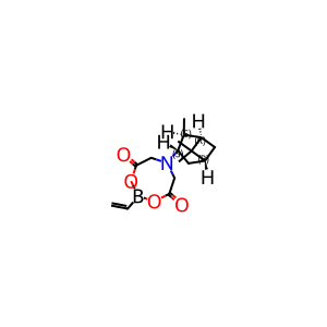 C=CB1OC(=O)CN([C@H]2C[C@H]3C[C@H]([C@@H]2C)C3(C)C)CC(=O)O1